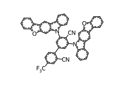 N#Cc1cc(C(F)(F)F)ccc1-c1cc(-n2c3ccccc3c3cc4c(cc32)oc2ccccc24)c(C#N)c(-n2c3ccccc3c3cc4c(cc32)oc2ccccc24)c1